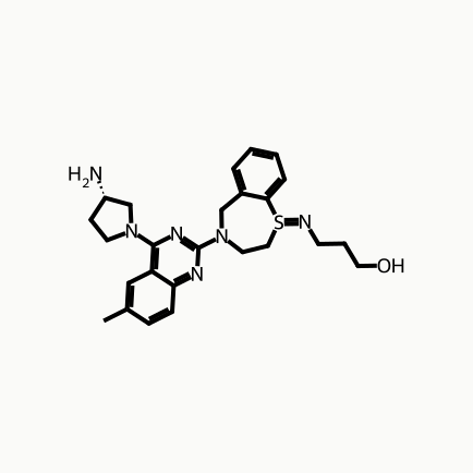 Cc1ccc2nc(N3CCS(=NCCCO)c4ccccc4C3)nc(N3CC[C@H](N)C3)c2c1